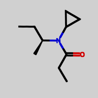 CCC(=O)N(C1CC1)[C@@H](C)CC